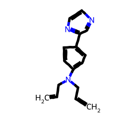 C=CCN(CC=C)c1ccc(-c2cnccn2)cc1